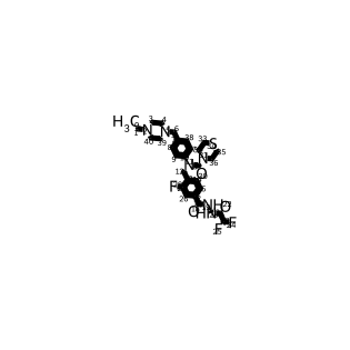 CCN1CCN(Cc2ccc(N(Cc3ccc(C(=O)NNC(=O)C(F)F)cc3F)C(=O)N3CCSCC3)cc2)CC1